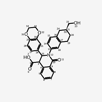 O=C(O)C1c2ccccc2C(=O)N(c2ccc3c(c2)CC[C@H](CO)C3)C1c1ccc2c(c1)OCCO2